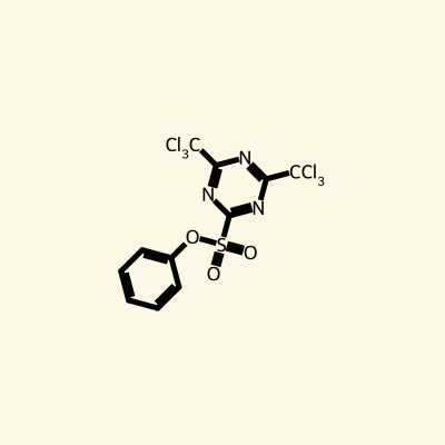 O=S(=O)(Oc1ccccc1)c1nc(C(Cl)(Cl)Cl)nc(C(Cl)(Cl)Cl)n1